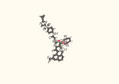 C#Cc1cccc2cc(C(F)F)cc(-c3ncc4c(N5C[C@H]6CC[C@@H](C5)N6C(=O)OC(C)(C)C)nc(OCC(=O)Nc5ccc(S(=O)(=O)n6cnc(C7CC7)n6)cc5)nc4c3F)c12